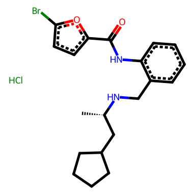 C[C@@H](CC1CCCC1)NCc1ccccc1NC(=O)c1ccc(Br)o1.Cl